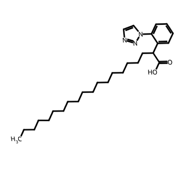 CCCCCCCCCCCCCCCCCCC(C(=O)O)c1ccccc1-n1ccnn1